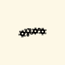 COC(Oc1ccc(Oc2ccccc2)cc1)C(=O)N(C)c1ccccc1